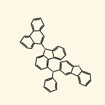 c1ccc(N(c2ccc3sc4ccccc4c3c2)c2cccc3c2c2ccccc2n3-c2cc3ccccc3c3ccccc23)cc1